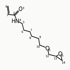 C=CC(=O)NCCCCCCOCC1CO1